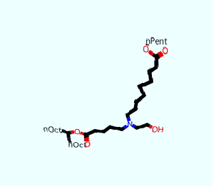 CCCCCCCCC(CCCCCCCC)OC(=O)CCCCN(CCO)CCCCCCCCC(=O)OCCCCC